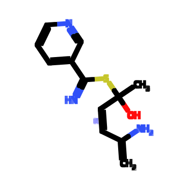 C=C(N)/C=C\C(C)(O)SC(=N)c1cccnc1